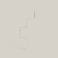 CC(C)Nc1nc2ccccc2s1